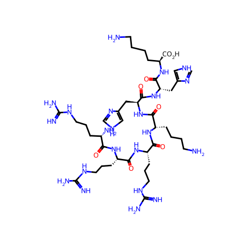 N=C(N)NCCC[C@H](NC(=O)[C@H](CCCNC(=N)N)NC(=O)[C@@H](N)CCCNC(=N)N)C(=O)N[C@@H](CCCCN)C(=O)N[C@@H](Cc1c[nH]cn1)C(=O)N[C@@H](Cc1c[nH]cn1)C(=O)N[C@@H](CCCCN)C(=O)O